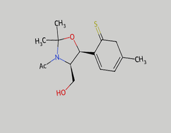 CC(=O)N1[C@H](CO)[C@H](C2=CC=C(C)CC2=S)OC1(C)C